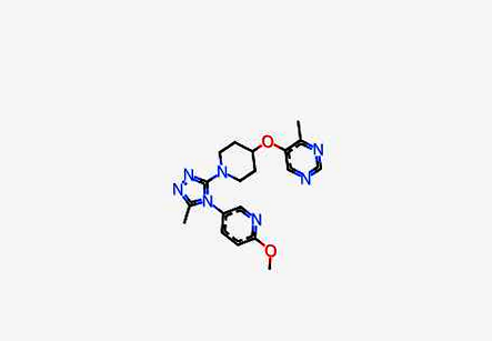 COc1ccc(-n2c(C)nnc2N2CCC(Oc3cncnc3C)CC2)cn1